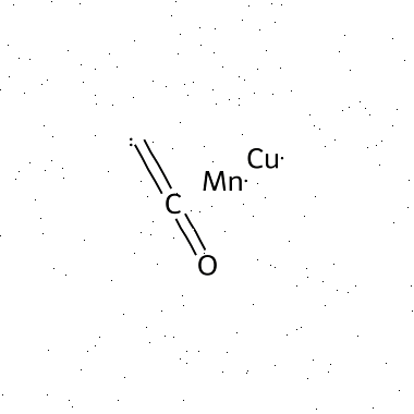 [C]=C=O.[Cu].[Mn]